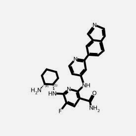 NC(=O)c1cc(F)c(N[C@H]2CCCC[C@H]2N)nc1Nc1ccnc(-c2ccc3ccncc3c2)c1